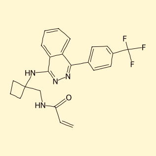 C=CC(=O)NCC1(Nc2nnc(-c3ccc(C(F)(F)F)cc3)c3ccccc23)CCC1